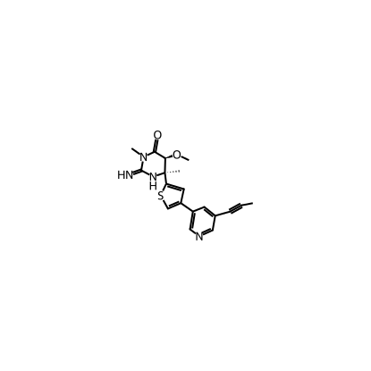 CC#Cc1cncc(-c2csc([C@@]3(C)NC(=N)N(C)C(=O)[C@H]3OC)c2)c1